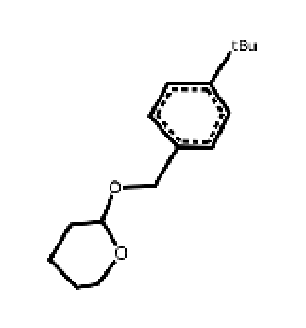 CC(C)(C)c1ccc(COC2CCCCO2)cc1